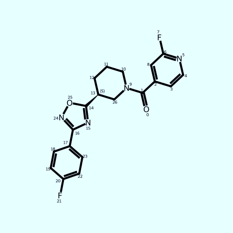 O=C(c1ccnc(F)c1)N1CCC[C@H](c2nc(-c3ccc(F)cc3)no2)C1